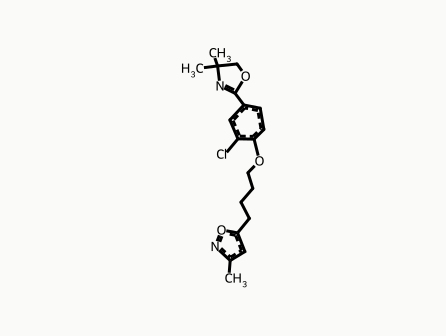 Cc1cc(CCCCOc2ccc(C3=NC(C)(C)CO3)cc2Cl)on1